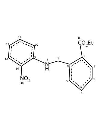 CCOC(=O)c1ccccc1CNc1ccccc1[N+](=O)[O-]